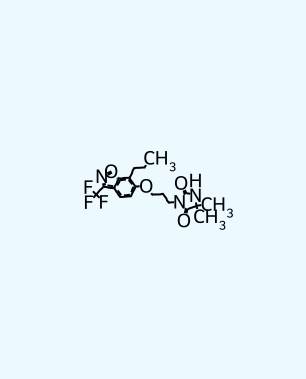 CCCc1c(OCCCN2C(=O)NC(C)(C)C2=O)ccc2c(C(F)(F)F)noc12